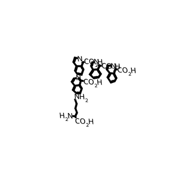 NCCCCC(N)C(=O)O.O=C(O)c1nccc2ccccc12.O=C(O)c1nccc2ccccc12.O=C(O)c1nccc2ccccc12.O=C(O)c1nccc2ccccc12